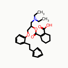 CCN(CC)CC(COc1ccccc1CCc1ccccc1)OC(=O)C1=C(C(=O)O)CCCC1